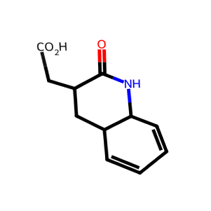 O=C(O)CC1CC2C=CC=CC2NC1=O